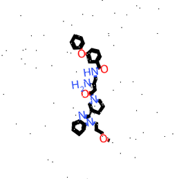 COCCCn1c([C@@H]2CCCN(C(=O)C[C@H](N)CNC(=O)c3cccc(Oc4ccccc4)c3)C2)nc2ccccc21